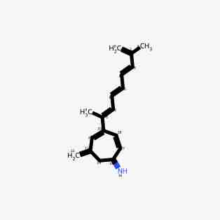 C=C(C)/C=C/C=C/C=C(\C)C1=CC(=C)CC(=N)C=C1